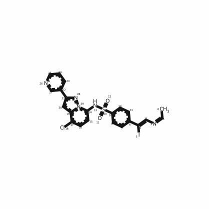 C/C=N\C=C(/I)c1ccc(S(=O)(=O)Nc2ccc(Cl)c3cc(-c4cccnc4)nn23)cc1